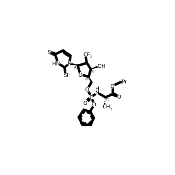 CC(C)OC(=O)[C@H](C)NP(=O)(OC[C@H]1O[C@@H](N2C=CC(=S)NC2S)C(C(F)(F)F)[C@H]1O)Oc1ccccc1